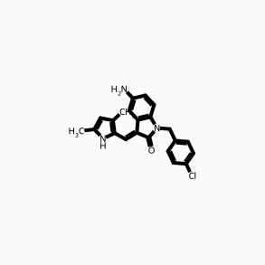 Cc1cc(C)c(C=C2C(=O)N(Cc3ccc(Cl)cc3)c3ccc(N)cc32)[nH]1